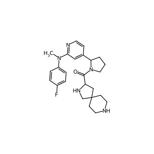 CN(c1ccc(F)cc1)c1cc(C2CCCN2C(=O)C2CC3(CCNCC3)CN2)ccn1